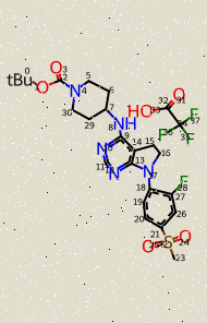 CC(C)(C)OC(=O)N1CCC(Nc2ncnc3c2CCN3c2ccc(S(C)(=O)=O)cc2F)CC1.O=C(O)C(F)(F)F